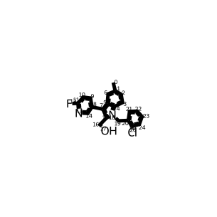 Cc1ccc2c(c1)c(-c1ccc(F)nc1)c(CO)n2Cc1ccccc1Cl